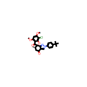 COc1cc(OC)c2c(c1Cl)O[C@]1(C2=O)c2nn(-c3ccc(C(C)(C)C)cc3)cc2C(=O)C[C@H]1C